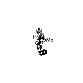 COc1cnc(-n2cnc(C)n2)c2[nH]cc(C(=O)C(=O)N3CCN(C4=NCCc5ccccc54)CC3)c12